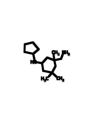 CC1(C)CC(NC2CCCC2)CC(C)(CN)C1